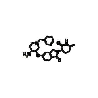 C=C1CCC(N2Cc3cc(OC4CN(Cc5ccccc5)CCC4N)ccc3C2=O)C(=O)N1